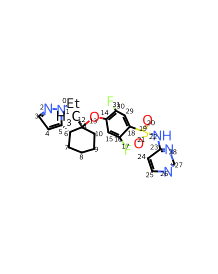 CCn1nccc1[C@H]1CCCC[C@@]1(C)Oc1cc(F)c(S(=O)(=O)Nc2ccncn2)cc1F